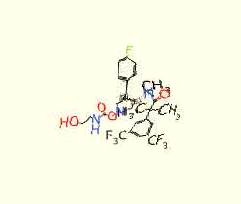 CN(C(=O)C(C)(C)c1cc(C(F)(F)F)cc(C(F)(F)F)c1)[C@@H]1CN(OC(=O)NCCO)C[C@H]1c1ccc(F)cc1